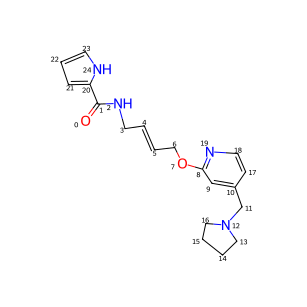 O=C(NCC=CCOc1cc(CN2CCCC2)ccn1)c1ccc[nH]1